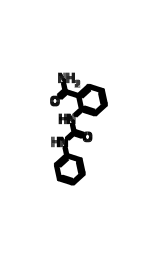 NC(=O)c1ccccc1NC(=O)Nc1ccccc1